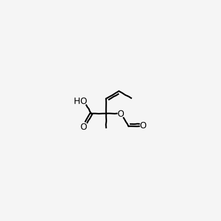 C/C=C\C(C)(OC=O)C(=O)O